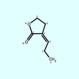 CC/C=C1/CCOC1=O